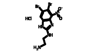 Cl.NCCNc1nc2c([N+](=O)[O-])c(Br)c(Br)cc2[nH]1